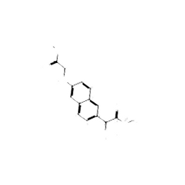 COC(=O)COc1ccc2cc(C(C)C(=O)OC)ccc2c1